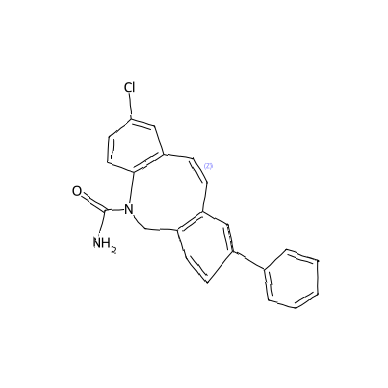 NC(=O)N1Cc2ccc(-c3ccccc3)cc2/C=C\c2cc(Cl)ccc21